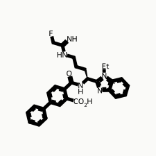 CCn1c([C@H](CCCNC(=N)CF)NC(=O)c2ccc(-c3ccccc3)cc2C(=O)O)nc2ccccc21